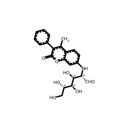 Cc1c(-c2ccccc2)c(=O)oc2cc(N[C@H](C=O)[C@H](O)[C@@H](O)[C@@H](O)CO)ccc12